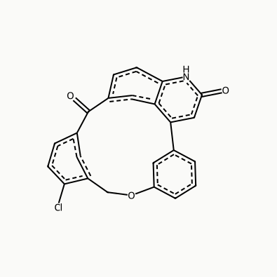 O=C1c2ccc(Cl)c(c2)COc2cccc(c2)-c2cc(=O)[nH]c3ccc1cc23